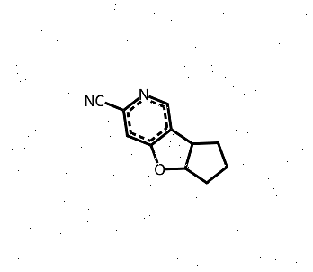 N#Cc1cc2c(cn1)C1CCCC1O2